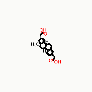 C[C@]12CC[C@@H]3c4ccc(CC(=O)O)cc4CC[C@H]3[C@@H]1C[C@@H](CC(=O)O)C2